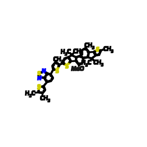 COc1cc2c3c(c(C)cc2c2c1-c1sc(-c4sc(-c5ccc(-c6cc(C)c(C)s6)c6nsnc56)cc4C)cc1C2(C)C)-c1sc(C)cc1C3(C)C